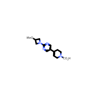 COC1CN(c2ncc(C3=CCN(C(=O)O)CC3)cn2)C1